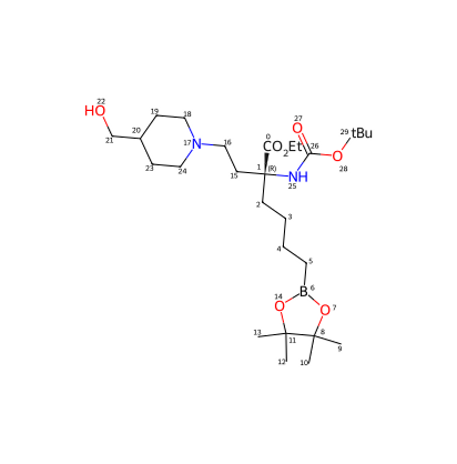 CCOC(=O)[C@@](CCCCB1OC(C)(C)C(C)(C)O1)(CCN1CCC(CO)CC1)NC(=O)OC(C)(C)C